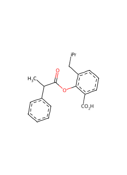 CC(C)Cc1cccc(C(=O)O)c1OC(=O)C(C)c1ccccc1